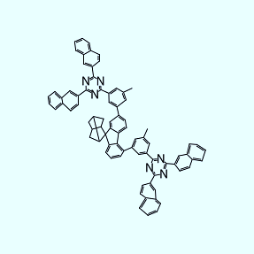 Cc1cc(-c2ccc3c(c2)C2(c4cccc(-c5cc(C)cc(-c6nc(-c7ccc8ccccc8c7)nc(-c7ccc8ccccc8c7)n6)c5)c4-3)C3CC4CC3CC42)cc(-c2nc(-c3ccc4ccccc4c3)nc(-c3ccc4ccccc4c3)n2)c1